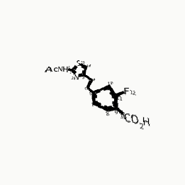 CC(=O)Nc1nc(/C=C/c2ccc(C(=O)O)c(F)c2)cs1